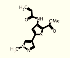 C=CC(=O)Nc1cc(-c2cnn(C)c2)sc1C(=O)OC